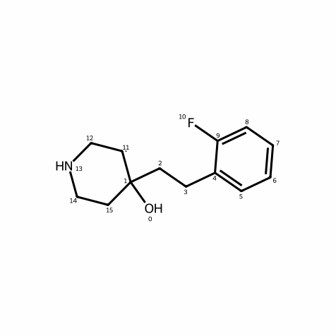 OC1(CCc2ccccc2F)[CH]CNCC1